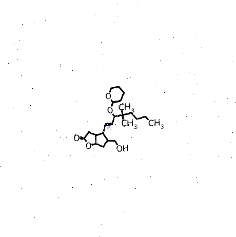 CCCCC(C)(C)C(/C=C/C1C(CO)CC2OC(=O)CC21)OC1CCCCO1